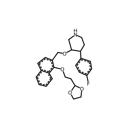 Fc1ccc(C2CCNCC2OCc2ccc3ccccc3c2OCCC2OCCO2)cc1